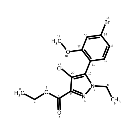 CCOC(=O)c1nn(CC)c(-c2ccc(Br)cc2OC)c1Cl